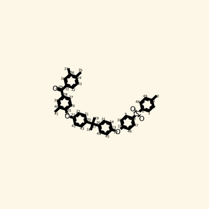 Cc1ccc(S(=O)(=O)c2ccc(Oc3ccc(C(C)(C)c4ccc(Oc5ccc(C(=O)c6ccc(C)c(C)c6)cc5C)cc4)cc3)cc2)cc1